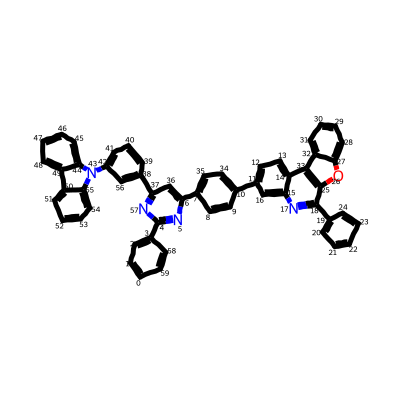 c1ccc(-c2nc(-c3ccc(-c4ccc5c(c4)nc(-c4ccccc4)c4oc6ccccc6c45)cc3)cc(-c3cccc(-n4c5ccccc5c5ccccc54)c3)n2)cc1